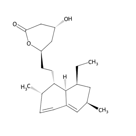 CC[C@H]1C[C@@H](C)C=C2C=C[C@H](C)[C@H](CC[C@@H]3C[C@@H](O)CC(=O)O3)[C@H]21